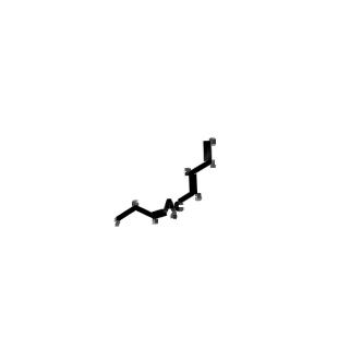 C=CC=[CH][Ac]=[CH]CC